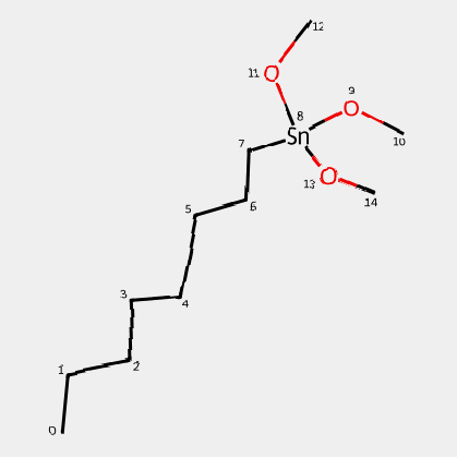 CCCCCCC[CH2][Sn]([O]C)([O]C)[O]C